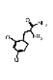 NC(=O)C(N)CC1CC=C(Cl)C=C1Cl